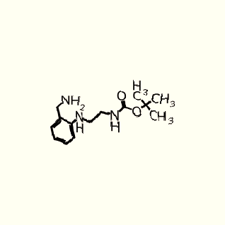 CC(C)(C)OC(=O)NCCNc1ccccc1CN